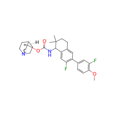 COc1ccc(-c2cc3c(cc2F)C(NC(=O)O[C@H]2CN4CCC2CC4)C(C)(C)CC3)cc1F